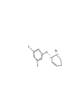 CC(=O)[C@@H]1CCC=C[C@@H]1Oc1cc(F)cc(F)c1